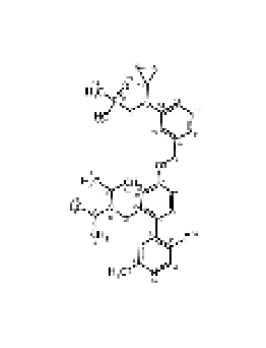 Cc1cc(-c2ccc(OCc3cccc(C(CP(C)(=O)O)C4CC4)c3)cc2CN(C(C)C)C(C)C)c(F)cn1